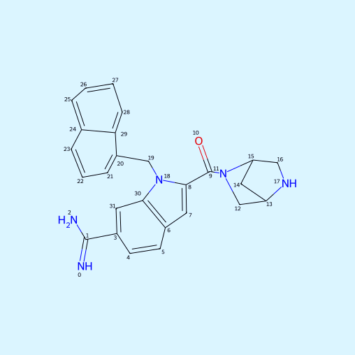 N=C(N)c1ccc2cc(C(=O)N3CC4CC3CN4)n(Cc3cccc4ccccc34)c2c1